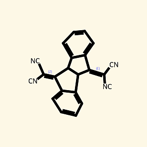 [C-]#[N+]/C(C#N)=C1\c2ccccc2C2/C(=C(/C#N)[N+]#[C-])c3ccccc3C12